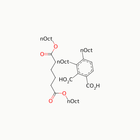 CCCCCCCCOC(=O)CCCCC(=O)OCCCCCCCC.CCCCCCCCc1ccc(C(=O)O)c(C(=O)O)c1CCCCCCCC